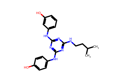 CC(C)CCNc1nc(Nc2ccc(O)cc2)nc(Nc2cccc(O)c2)n1